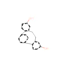 Oc1ccc2c(c1)CCc1cc(O)ccc1-c1ccc-2cc1